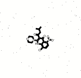 CC(C)CC(=O)c1c(N2CCOCC2)[nH]c2c(Cl)ccc([N+](=O)[O-])c2c1=O